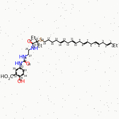 CCC=CCC=CCC=CCC=CCC=CCCCCSC(CC)(CC)C(=O)NCCNC(=O)Nc1ccc(O)c(C(=O)O)c1